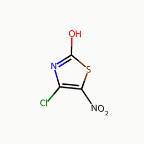 O=[N+]([O-])c1sc(O)nc1Cl